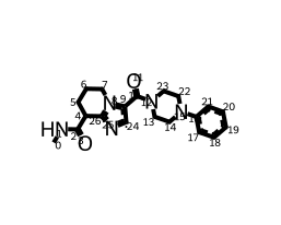 CNC(=O)C1CCCn2c(C(=O)N3CCN(c4ccccc4)CC3)[c]nc21